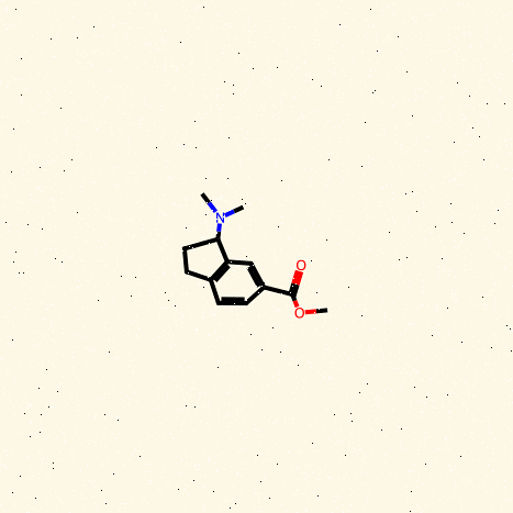 COC(=O)c1ccc2c(c1)C(N(C)C)CC2